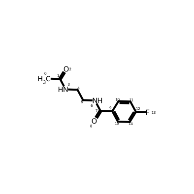 CC(=O)NCCNC(=O)c1ccc(F)cc1